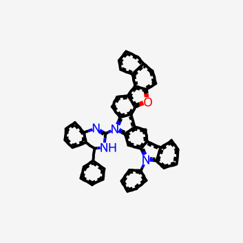 c1ccc(C2NC(n3c4cc5c(cc4c4c6oc7ccc8ccccc8c7c6ccc43)c3ccccc3n5-c3ccccc3)=Nc3ccccc32)cc1